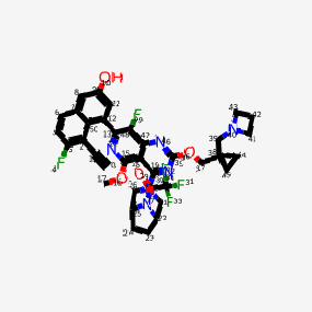 C#Cc1c(F)ccc2cc(O)cc(-c3nc(OC)c4c(N5CC6CCC(C5)N6C(=O)C(F)(F)F)nc(OCC5(CN6CCC6)CC5)nc4c3F)c12